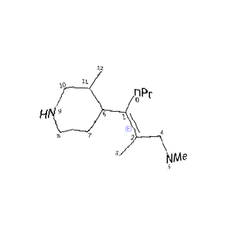 CCC/C(=C(/C)CNC)C1CCNCC1C